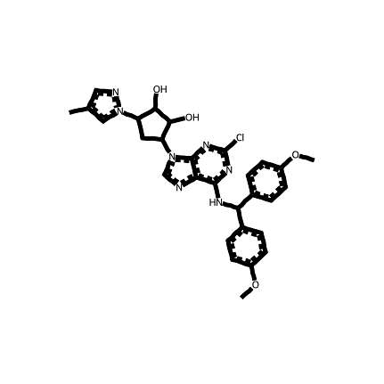 COc1ccc(C(Nc2nc(Cl)nc3c2ncn3C2CC(n3cc(C)cn3)C(O)C2O)c2ccc(OC)cc2)cc1